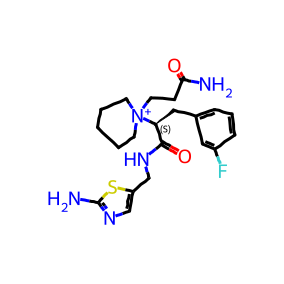 NC(=O)CC[N+]1([C@@H](Cc2cccc(F)c2)C(=O)NCc2cnc(N)s2)CCCCC1